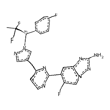 CC(F)(F)[C@@H](c1ccc(F)cc1)n1cc(-c2ccnc(-c3cc4nc(N)nn4cc3F)n2)cn1